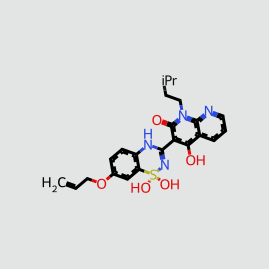 C=CCOc1ccc2c(c1)S(O)(O)N=C(c1c(O)c3cccnc3n(CCC(C)C)c1=O)N2